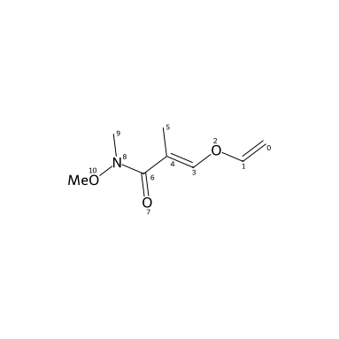 C=CO/C=C(\C)C(=O)N(C)OC